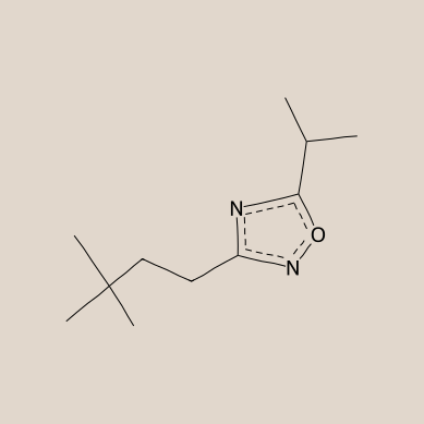 CC(C)c1nc(CCC(C)(C)C)no1